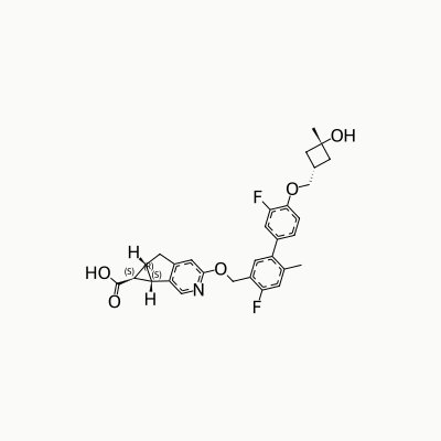 Cc1cc(F)c(COc2cc3c(cn2)[C@H]2[C@@H](C3)[C@@H]2C(=O)O)cc1-c1ccc(OC[C@H]2C[C@@](C)(O)C2)c(F)c1